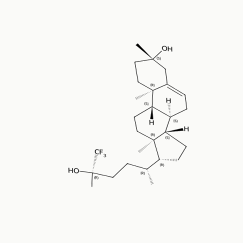 C[C@H](CC[C@@](C)(O)C(F)(F)F)[C@H]1CC[C@H]2[C@@H]3CC=C4C[C@@](C)(O)CC[C@]4(C)[C@H]3CC[C@]12C